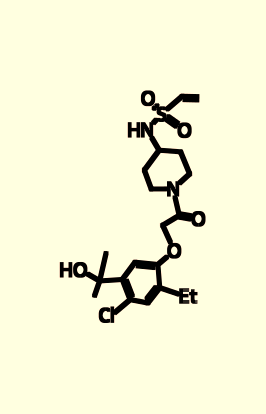 C=CS(=O)(=O)NC1CCN(C(=O)COc2cc(C(C)(C)O)c(Cl)cc2CC)CC1